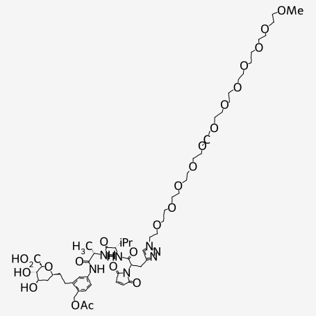 COCCOCCOCCOCCOCCOCCOCCOCCOCCOCCOCCOCCn1cc(CC(C(=O)N[C@H](C(=O)N[C@@H](C)C(=O)Nc2ccc(COC(C)=O)c(CC[C@H]3C[C@@H](O)[C@H](O)[C@@H](C(=O)O)O3)c2)C(C)C)N2C(=O)C=CC2=O)nn1